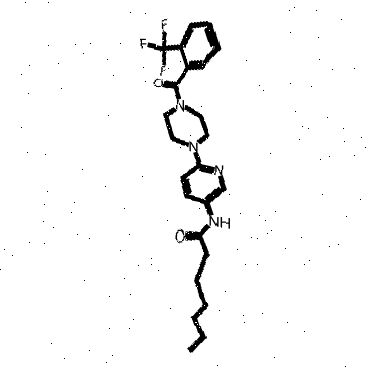 CCCCCCC(=O)Nc1ccc(N2CCN(C(=O)c3ccccc3C(F)(F)F)CC2)nc1